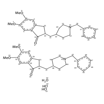 COc1cc2c(cc1OC)C(=O)C(CC1CCN(Cc3ccccc3)CC1)C2.COc1cc2c(cc1OC)C(=O)C(CC1CCN(Cc3ccccc3)CC1)C2.Cl.Cl.O